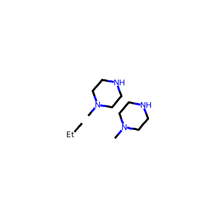 CCC.CN1CCNCC1.CN1CCNCC1